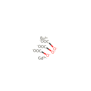 O=C([O-])[O-].O=C([O-])[O-].O=C([O-])[O-].[Eu+3].[Gd+3]